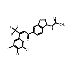 CC(=O)NC1CCc2cc(C(=O)/C=C(\c3cc(Cl)c(Cl)c(Cl)c3)C(F)(F)F)ccc21